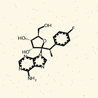 C[C@H](c1ccc(F)cc1)[C@@]1(n2cnc3c(N)ncnc32)O[C@H](CO)[C@@H](O)[C@H]1O